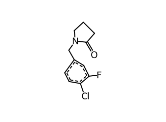 O=C1CCCN1Cc1ccc(Cl)c(F)c1